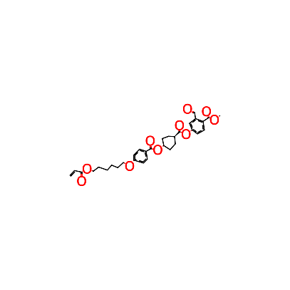 C=CC(=O)OCCCCCCOc1ccc(C(=O)O[C@H]2CC[C@H](C(=O)Oc3ccc(C(=O)OC)c(C=O)c3)CC2)cc1